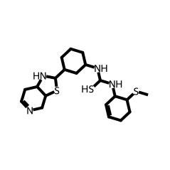 CSC1CCC=CC1NC(S)NC1CCCC(C2NC3CC=NCC3S2)C1